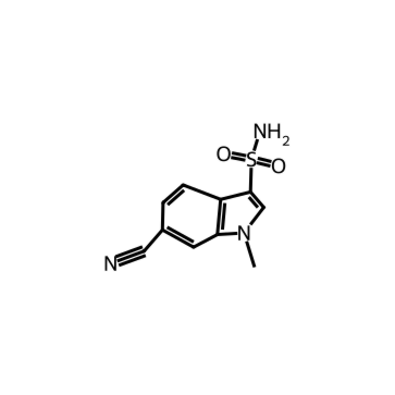 Cn1cc(S(N)(=O)=O)c2ccc(C#N)cc21